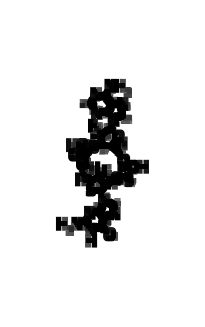 Nc1nc2c(ncn2[C@@H]2S[C@@H]3COP(=O)(O)O[C@H]4[C@H](F)[C@H](n5cnc6c(N)ncnc65)O[C@@H]4COP(O)(=S)O[C@@H]2[C@@H]3F)c(=O)[nH]1